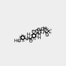 CC(C)(C)C(=O)NC[C@H](NC(=O)c1ccc(C(=O)NCc2cccc(O)c2)cc1Cl)C(=O)O